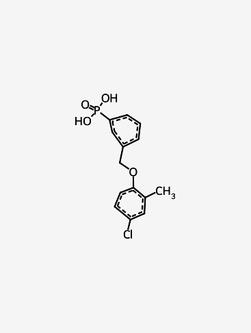 Cc1cc(Cl)ccc1OCc1cccc(P(=O)(O)O)c1